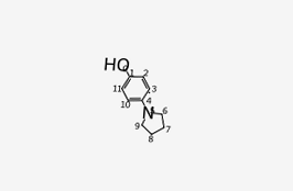 Oc1c[c]c(N2CCCC2)cc1